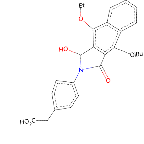 CCOc1c2c(c(OCC(C)C)c3ccccc13)C(=O)N(c1ccc(CC(=O)O)cc1)C2O